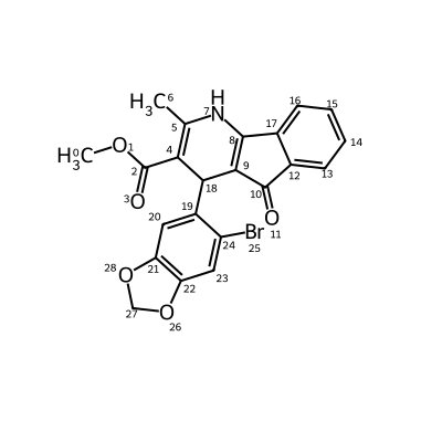 COC(=O)C1=C(C)NC2=C(C(=O)c3ccccc32)C1c1cc2c(cc1Br)OCO2